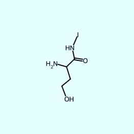 NC(CCO)C(=O)NI